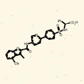 Cc1c(C(=O)Nc2ccc(-c3ccc(S(=O)(=O)N[C@H](C(=O)O)C(C)C)cc3)nc2)oc2cccc(C#N)c12